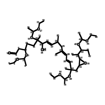 CCOC(C)OC(CC=O)CCC(C)(OC(C)OCC)C(O)/C=C/C(C)C/C(C)=C/C=C/C(C)(CC1OC1C(C)C(CC)OC(C)OCC)OC(C)OCC